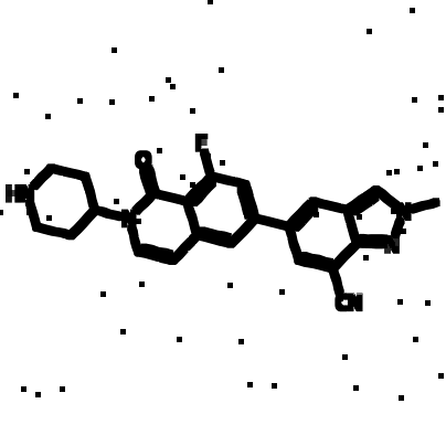 Cn1cc2cc(-c3cc(F)c4c(=O)n(C5CCNCC5)ccc4c3)cc(C#N)c2n1